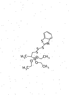 CCO[Si](OCC)(OCC)C(C)CSSSc1nc2ccccc2s1